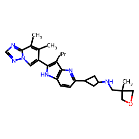 Cc1c(-c2[nH]c3ccc(C4CC(NCC5(C)COC5)C4)nc3c2C(C)C)cn2ncnc2c1C